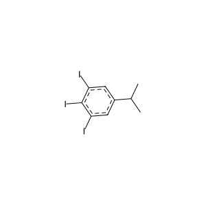 CC(C)c1cc(I)c(I)c(I)c1